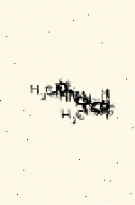 CCc1cc(N/C=C2/CCCN(CC)C2)nnc1-c1ccc2c(F)c[nH]c2c1